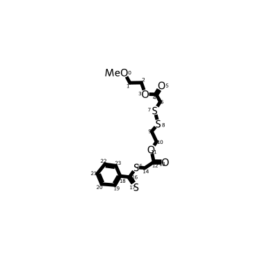 COCCOC(=O)CSSCCOC(=O)CSC(=S)c1ccccc1